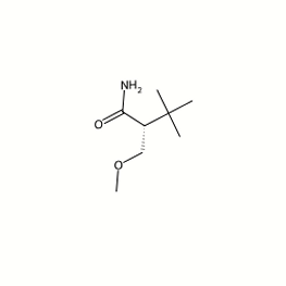 COC[C@H](C(N)=O)C(C)(C)C